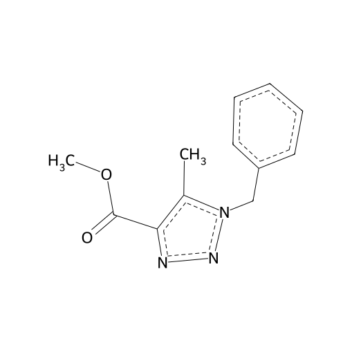 COC(=O)c1nnn(Cc2ccccc2)c1C